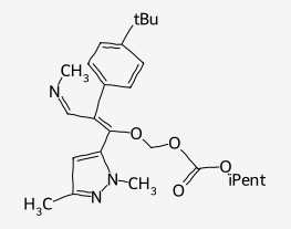 CCCC(C)OC(=O)OCO/C(=C(/C=N\C)c1ccc(C(C)(C)C)cc1)c1cc(C)nn1C